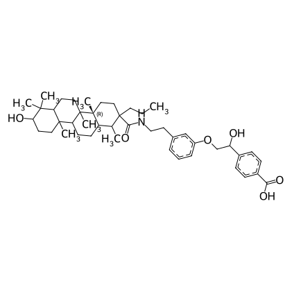 CCCC1(C(=O)NCCc2cccc(OCC(O)c3ccc(C(=O)O)cc3)c2)CC[C@]2(C)C(CCC3C4(C)CCC(O)C(C)(C)C4CCC32C)C1C